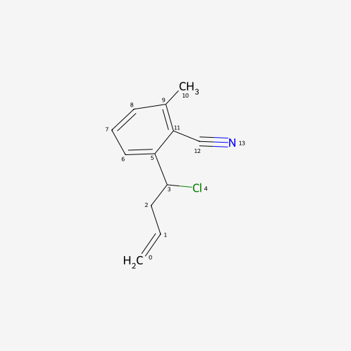 C=CCC(Cl)c1cccc(C)c1C#N